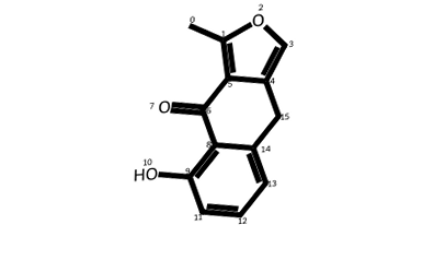 Cc1occ2c1C(=O)c1c(O)cccc1C2